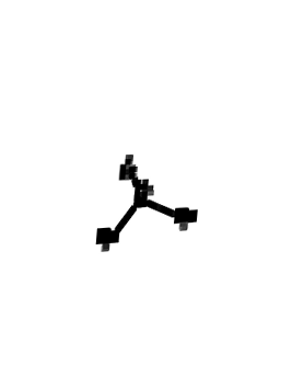 CCC(C)[SiH](CC)C(C)CC